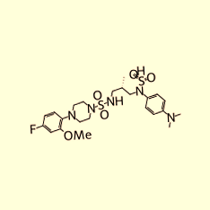 COc1cc(F)ccc1N1CCN(S(=O)(=O)NC[C@H](C)CN(c2ccc(N(C)C)cc2)[SH](=O)=O)CC1